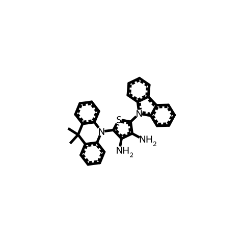 CC1(C)c2ccccc2N(c2sc(-n3c4ccccc4c4ccccc43)c(N)c2N)c2ccccc21